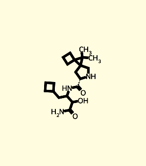 CC1(C)C2(CCC2)C12CN[C@H](C(=O)NC(CC1CCC1)C(O)C(N)=O)C2